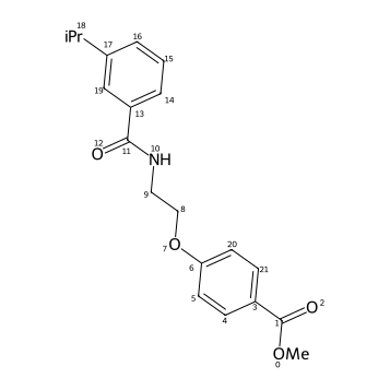 COC(=O)c1ccc(OCCNC(=O)c2cccc(C(C)C)c2)cc1